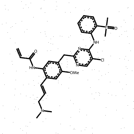 C=CC(=O)Nc1cc(Cc2ncc(Cl)c(Nc3ccccc3P(C)(C)=O)n2)c(OC)cc1C=CCN(C)C